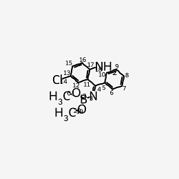 COB(N=C(c1ccccc1)c1cc(Cl)ccc1N)OC